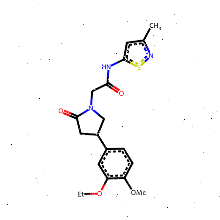 CCOc1cc(C2CC(=O)N(CC(=O)Nc3cc(C)ns3)C2)ccc1OC